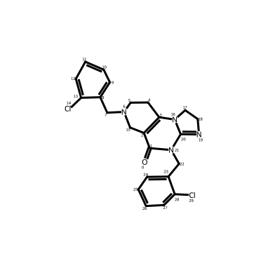 O=C1C2=C(CCN(Cc3ccccc3Cl)C2)N2CCN=C2N1Cc1ccccc1Cl